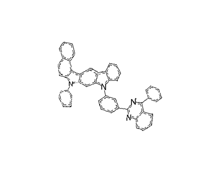 c1ccc(-c2nc(-c3cccc(-n4c5ccccc5c5cc6c7c8ccccc8ccc7n(-c7ccccc7)c6cc54)c3)nc3ccccc23)cc1